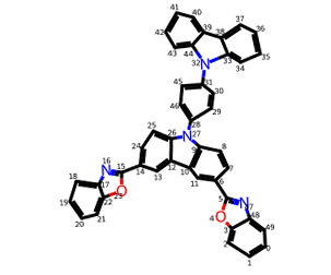 c1ccc2oc(-c3ccc4c(c3)c3cc(-c5nc6ccccc6o5)ccc3n4-c3ccc(-n4c5ccccc5c5ccccc54)cc3)nc2c1